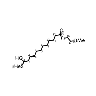 CCCCCCC(O)CC=CCCCCCCCC(=O)OCCOC